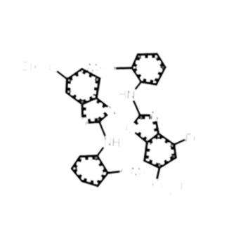 CCOC(=O)c1ccc2nc(Nc3ccccc3OC)oc2c1.CCc1cc(C(=O)O)cc2oc(Nc3ccccc3OC)nc12